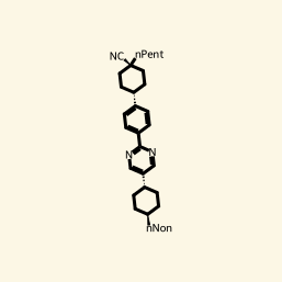 CCCCCCCCC[C@H]1CC[C@H](c2cnc(-c3ccc([C@H]4CC[C@@](C#N)(CCCCC)CC4)cc3)nc2)CC1